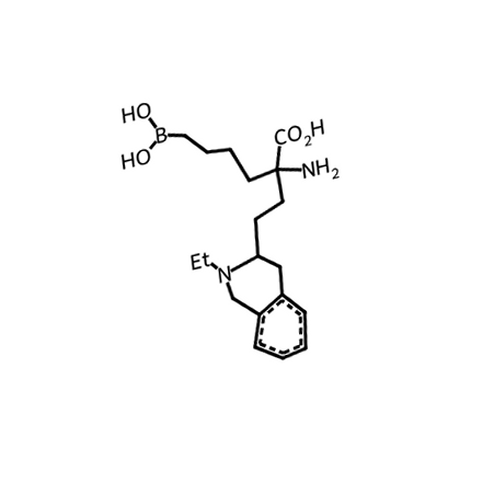 CCN1Cc2ccccc2CC1CCC(N)(CCCCB(O)O)C(=O)O